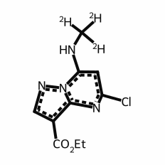 [2H]C([2H])([2H])Nc1cc(Cl)nc2c(C(=O)OCC)cnn12